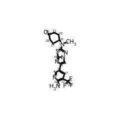 CN(c1nn2cc(-c3cnc(N)c(C(F)(F)F)c3)nc2s1)C1CCC(=O)CC1